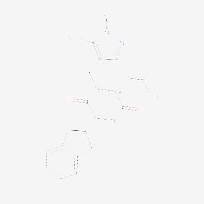 Cc1c(CN2C(=O)[C@@H](C3Cc4ccccc4C3)NC(=O)[C@H]2CC(C)C)cnn1C